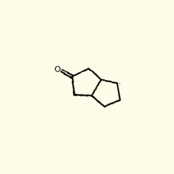 O=C1CC2[CH]CCC2C1